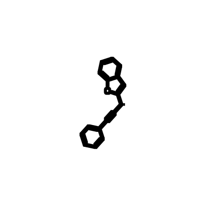 C(#Cc1ccccc1)[CH]c1cc2ccccc2o1